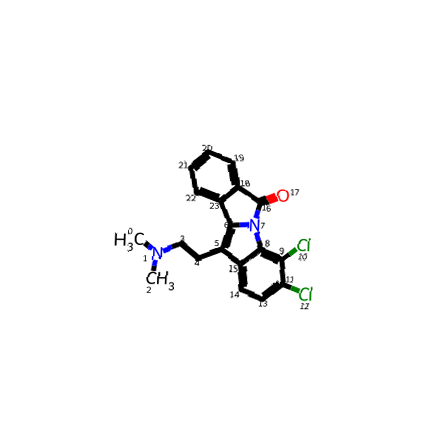 CN(C)CCc1c2n(c3c(Cl)c(Cl)ccc13)C(=O)c1ccccc1-2